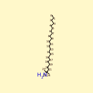 CCCCCCCCCCCCCCCCCCCCCCC(C)(C)N